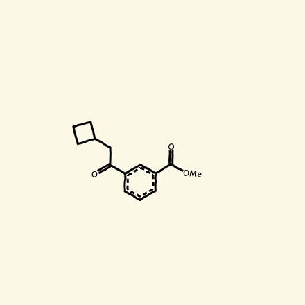 COC(=O)c1cccc(C(=O)CC2CCC2)c1